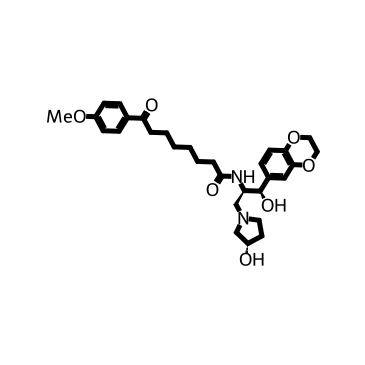 COc1ccc(C(=O)CCCCCCC(=O)N[C@H](CN2CC[C@H](O)C2)[C@H](O)c2ccc3c(c2)OCCO3)cc1